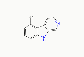 CC(=O)c1cccc2[nH]c3cnccc3c12